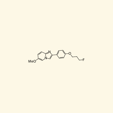 COc1ccc2nc(-c3ccc(OCCCF)cc3)cn2c1